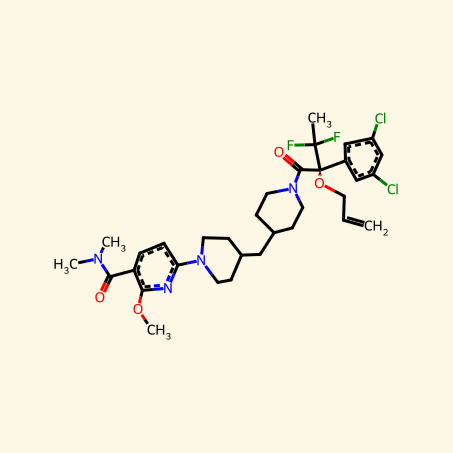 C=CCO[C@@](C(=O)N1CCC(CC2CCN(c3ccc(C(=O)N(C)C)c(OC)n3)CC2)CC1)(c1cc(Cl)cc(Cl)c1)C(C)(F)F